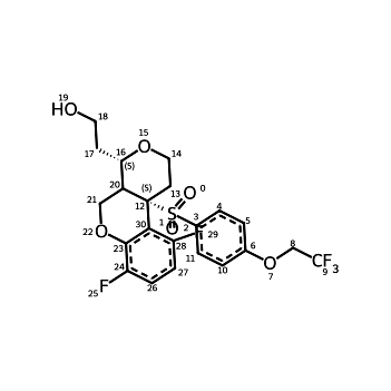 O=S(=O)(c1ccc(OCC(F)(F)F)cc1)[C@@]12CCO[C@@H](CCO)C1COc1c(F)ccc(F)c12